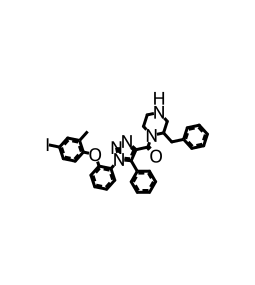 Cc1cc(I)ccc1Oc1ccccc1-n1nnc(C(=O)N2CCNCC2Cc2ccccc2)c1-c1ccccc1